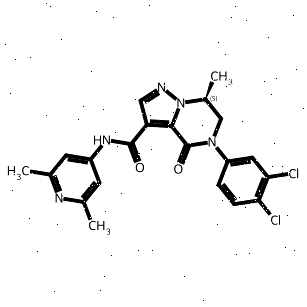 Cc1cc(NC(=O)c2cnn3c2C(=O)N(c2ccc(Cl)c(Cl)c2)C[C@@H]3C)cc(C)n1